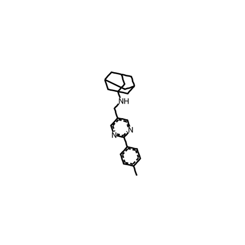 Cc1ccc(-c2ncc(CNC34CC5CC(CC(C5)C3)C4)cn2)cc1